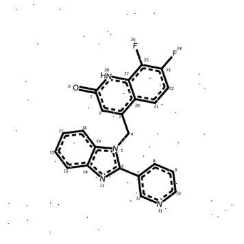 O=c1cc(Cn2c(-c3cccnc3)nc3ccccc32)c2ccc(F)c(F)c2[nH]1